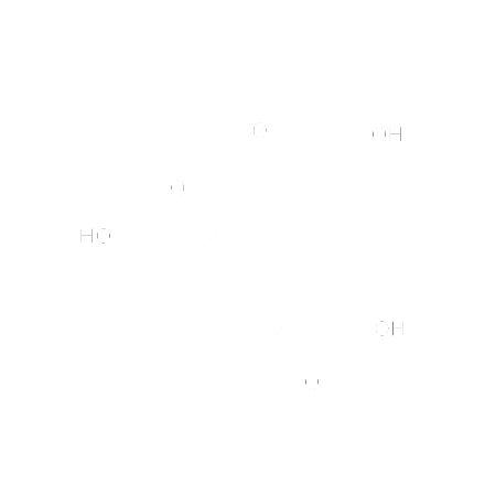 COc1c(O)cc(O)c2c1C(=O)c1c(O)cccc1C2=O